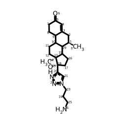 C[C@@H]1CC2=CC(=O)CCC2C2CC[C@@]3(C)C(CC[C@@]3(O)c3cn(CCCN)nn3)C21